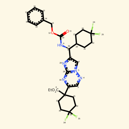 CCOC(=O)C1(c2cnn3cc([C@@H](NC(=O)OCc4ccccc4)C4CCC(F)(F)CC4)nc3n2)CCC(F)(F)CC1